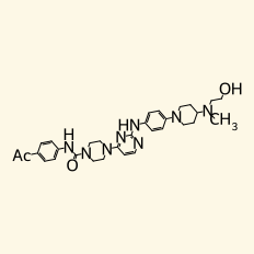 CC(=O)c1ccc(NC(=O)N2CCN(c3ccnc(Nc4ccc(N5CCC(N(C)CCO)CC5)cc4)n3)CC2)cc1